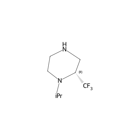 CC(C)N1CCNC[C@@H]1C(F)(F)F